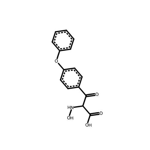 O=C(O)C(NO)C(=O)c1ccc(Oc2ccccc2)cc1